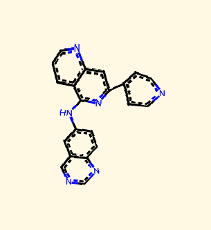 c1cnc2cc(-c3ccncc3)nc(Nc3ccc4ncncc4c3)c2c1